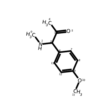 CNC(C(C)=O)c1ccc(OC)cc1